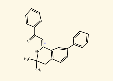 CC1(C)Cc2ccc(-c3ccccc3)cc2/C(=C/C(=O)c2ccccc2)N1